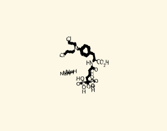 O=C(CCCC(O)(P(=O)(O)O)P(=O)(O)O)N[C@@H](Cc1ccc(N(CCCl)CCCl)cc1)C(=O)O.[NaH].[NaH].[NaH]